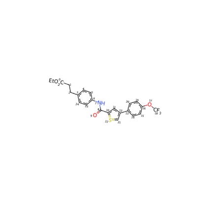 CCOC(=O)CCc1ccc(NC(=O)c2cc(-c3ccc(OC(F)(F)F)cc3)cs2)cc1